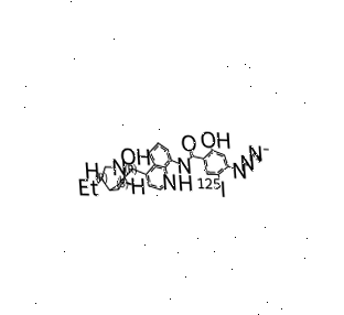 CC[C@H]1CN2CCC1C[C@H]2[C@H](O)c1ccnc2c(NC(=O)c3cc([125I])c(N=[N+]=[N-])cc3O)cccc12